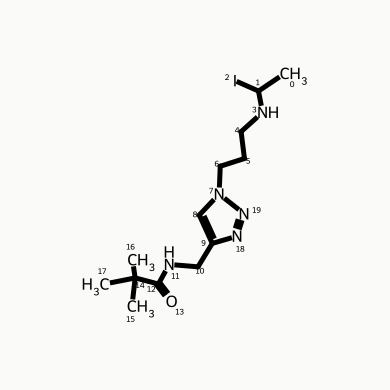 CC(I)NCCCn1cc(CNC(=O)C(C)(C)C)nn1